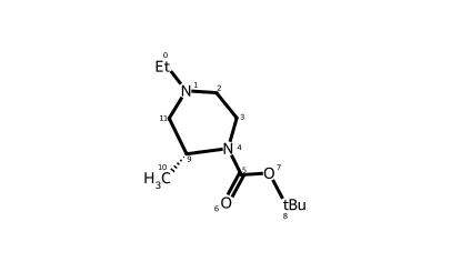 CCN1CCN(C(=O)OC(C)(C)C)[C@H](C)C1